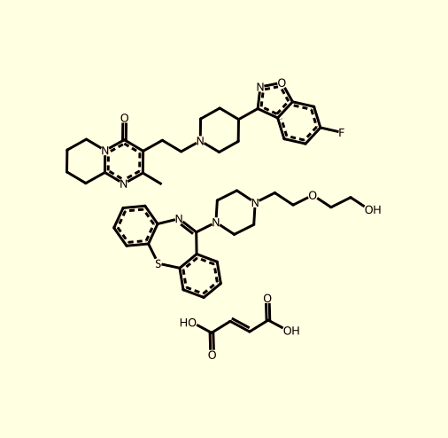 Cc1nc2n(c(=O)c1CCN1CCC(c3noc4cc(F)ccc34)CC1)CCCC2.O=C(O)/C=C/C(=O)O.OCCOCCN1CCN(C2=Nc3ccccc3Sc3ccccc32)CC1